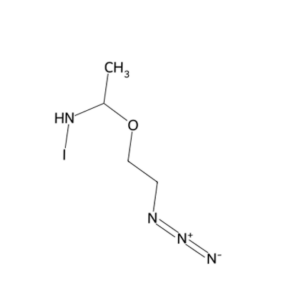 CC(NI)OCCN=[N+]=[N-]